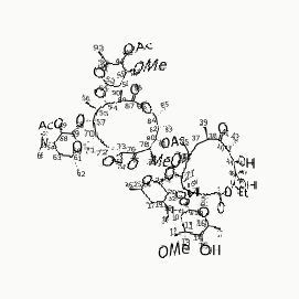 CC[C@H]1OC(=O)[C@H](C)[C@@H](O[C@H]2C[C@@](C)(OC)[C@@H](O)[C@H](C)O2)[C@H](C)[C@@H](O[C@@H]2O[C@H](C)C[C@H](N(C)C)[C@H]2O)[C@](C)(OC)C[C@@H](C)C(=O)[C@H](C)[C@@H](O)[C@]1(C)O.CO[C@H]1C[C@H](O[C@H]2[C@H](C)[C@@H](O[C@@H]3O[C@H](C)C[C@H](N(C)C)[C@H]3OC(C)=O)[C@@H](C)C[C@@]3(CO3)C(=O)[C@H](C)[C@@H](OC(C)=O)[C@@H](C)[C@@H](C)OC(=O)[C@@H]2C)O[C@@H](C)[C@@H]1OC(C)=O